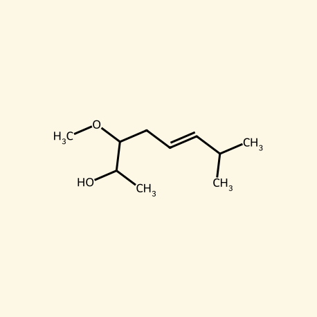 COC(CC=CC(C)C)C(C)O